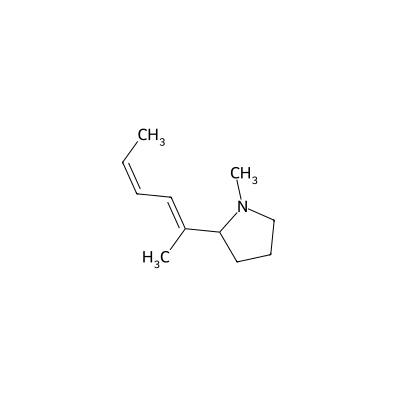 C/C=C\C=C(/C)C1CCCN1C